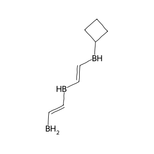 BC=CBC=CBC1CCC1